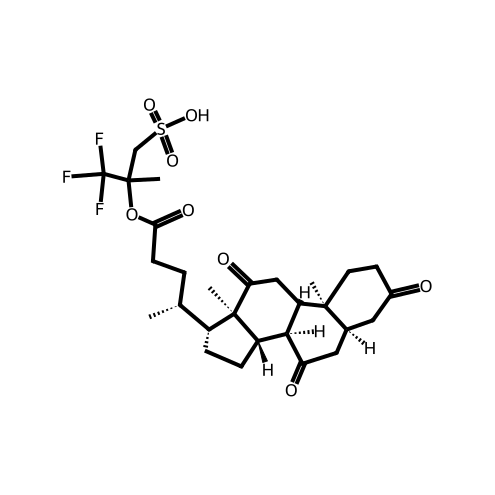 C[C@H](CCC(=O)OC(C)(CS(=O)(=O)O)C(F)(F)F)[C@H]1CC[C@H]2[C@@H]3C(=O)C[C@@H]4CC(=O)CC[C@]4(C)[C@H]3CC(=O)[C@]12C